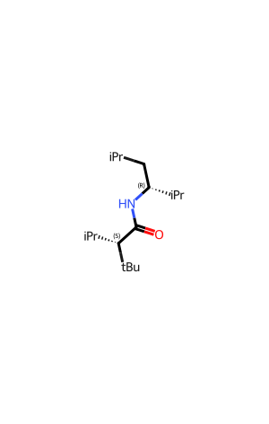 CC(C)C[C@@H](NC(=O)[C@@H](C(C)C)C(C)(C)C)C(C)C